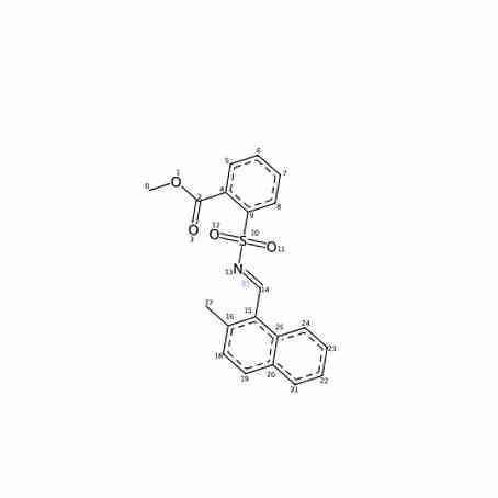 COC(=O)c1ccccc1S(=O)(=O)/N=C/c1c(C)ccc2ccccc12